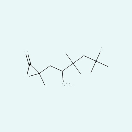 CNC(CC1(C)OC1=O)C(C)(C)CC(C)(C)C(C)=O